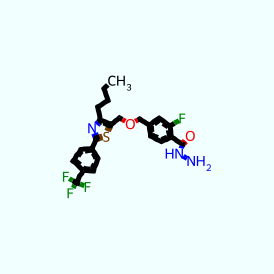 CCCCc1nc(-c2ccc(C(F)(F)F)cc2)sc1COCc1ccc(C(=O)NN)c(F)c1